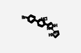 Brc1ccc(-c2ccc(-c3c[nH]c([C@@H]4CCCN4)n3)cc2)cc1.Cl